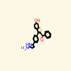 Nc1ccc(-c2ccc(-c3c(C(=O)c4ccccc4)sc4cc(O)ccc34)cc2)[nH]1